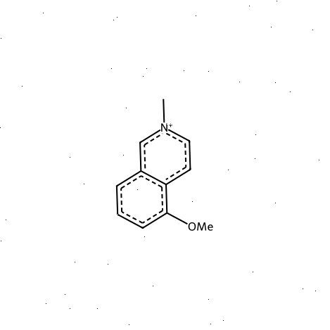 COc1cccc2c[n+](C)ccc12